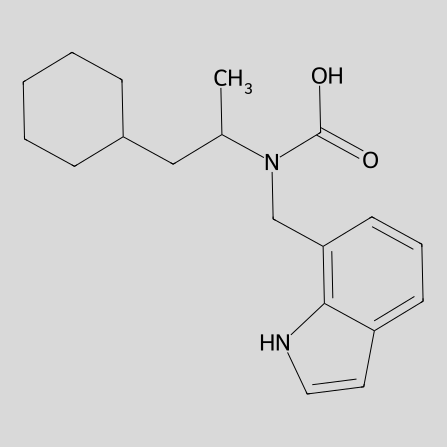 CC(CC1CCCCC1)N(Cc1cccc2cc[nH]c12)C(=O)O